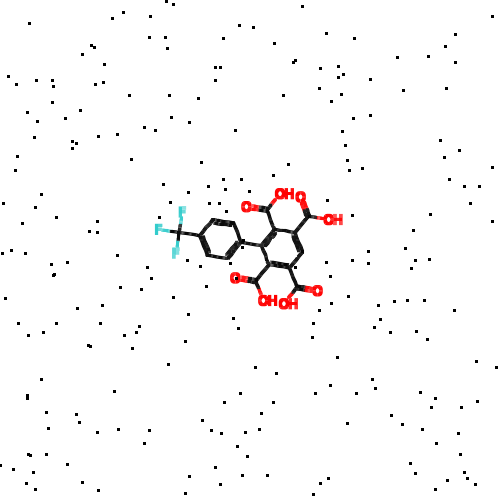 O=C(O)c1cc(C(=O)O)c(C(=O)O)c(-c2ccc(C(F)(F)F)cc2)c1C(=O)O